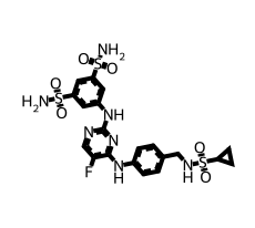 NS(=O)(=O)c1cc(Nc2ncc(F)c(Nc3ccc(CNS(=O)(=O)C4CC4)cc3)n2)cc(S(N)(=O)=O)c1